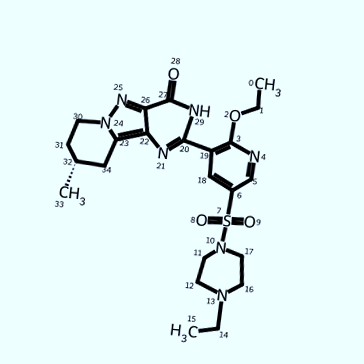 CCOc1ncc(S(=O)(=O)N2CCN(CC)CC2)cc1-c1nc2c3n(nc2c(=O)[nH]1)CC[C@@H](C)C3